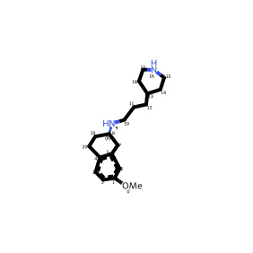 COc1ccc2c(c1)C[C@H](NCCCC1CCNCC1)CC2